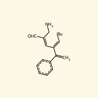 C=C(C(/C=C(/C=O)CN)=C/C(C)CC)c1ccccc1